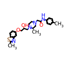 Cc1ccc(NC(=O)CN2CCN(C[C@H](O)COc3ccc4sc(C)nc4c3)[C@@H](C)C2)cc1